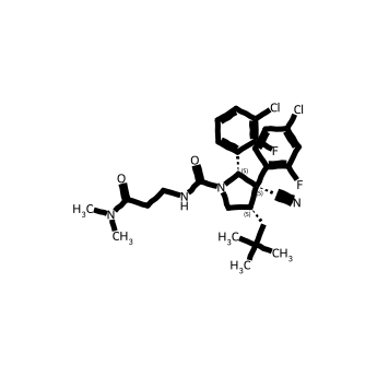 CN(C)C(=O)CCNC(=O)N1C[C@@H](CC(C)(C)C)[C@](C#N)(c2ccc(Cl)cc2F)[C@H]1c1cccc(Cl)c1F